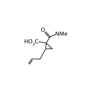 C=CCC1CC1(C(=O)O)C(=O)NC